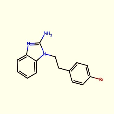 Nc1nc2ccccc2n1CCc1ccc(Br)cc1